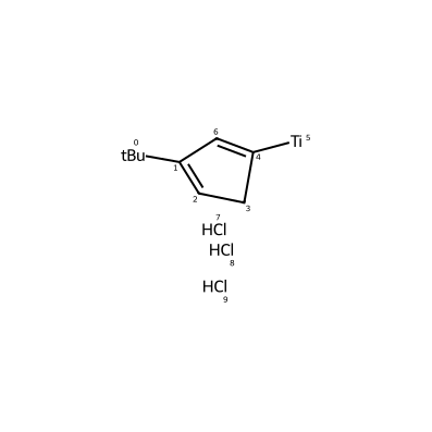 CC(C)(C)C1=CC[C]([Ti])=C1.Cl.Cl.Cl